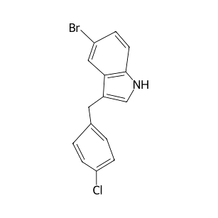 Clc1ccc(Cc2c[nH]c3ccc(Br)cc23)cc1